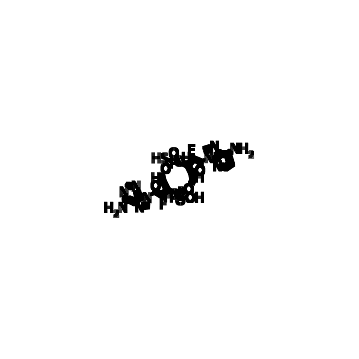 Nc1ccnc2c1ncn2[C@@H]1O[C@@H]2COP(=O)(O)O[C@H]3[C@@H](F)[C@H](n4cnc5c(N)ncnc54)O[C@@H]3CO[P@@](=O)(S)O[C@H]2[C@H]1F